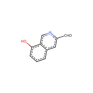 O=Cc1cc2cccc(O)c2cn1